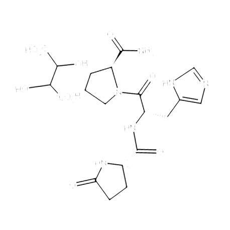 NC(=O)[C@@H]1CCCN1C(=O)[C@H](Cc1cnc[nH]1)NC(=O)[C@@H]1CCC(=O)N1.O=C(O)C(O)C(O)C(=O)O